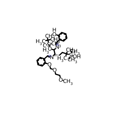 COCCOCOc1ccccc1/C=N/[C@@H](CCC(C)(C)[Si](C)(C)O)C(/N=C/c1ccccc1O)O[Si](C)(C)C(C)(C)C